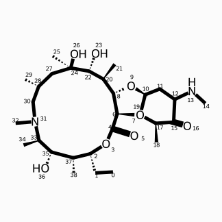 CC[C@H]1OC(=O)[C@H](C)[C@@H](O[C@H]2CC(NC)C(=O)[C@@H](C)O2)[C@H](C)[C@@H](O)[C@](C)(O)C[C@@H](C)CN(C)[C@H](C)[C@@H](O)[C@H]1C